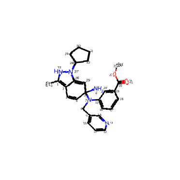 CCC1=C2C=CC(N)(N(Cc3cccnc3)c3cccc(C(=O)OC(C)(C)C)c3)C=C2N(C2CCCC2)N1